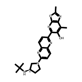 Cc1nc2c(C)c(O)c(-c3ccc4nc(N5CC[C@@H](NC(C)(C)C)C5)ccc4n3)nc2o1